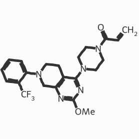 C=CC(=O)N1CCN(c2nc(OC)nc3c2CCN(c2ccccc2C(F)(F)F)C3)CC1